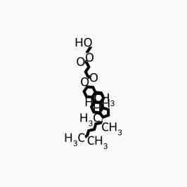 CC(C)CCCC(C)[C@H]1CC[C@H]2[C@@H]3CC=C4C[C@@H](OC(=O)CCC(=O)OCCO)CC[C@]4(C)[C@H]3CC[C@]12C